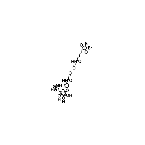 O=C(CCCCCN1C(=O)C(Br)=C(Br)C1=O)NCCOCCOCCC(=O)Nc1ccc(O[C@H]2O[C@H](CCP(=O)(O)O)[C@@H](O)[C@H](O)[C@@H]2O)cc1